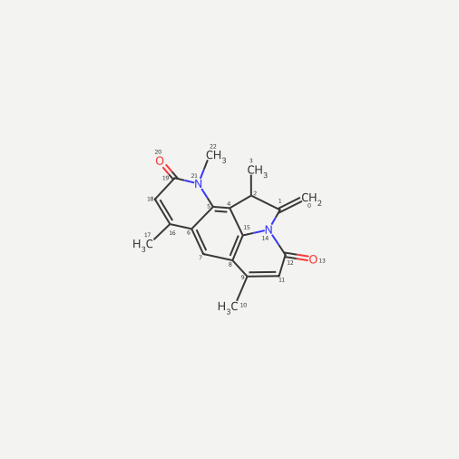 C=C1C(C)c2c3c(cc4c(C)cc(=O)n1c24)c(C)cc(=O)n3C